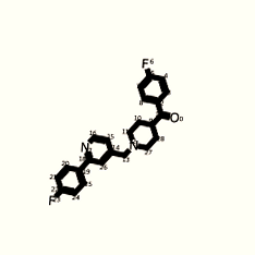 O=C(c1ccc(F)cc1)C1CCN(Cc2ccnc(-c3ccc(F)cc3)c2)CC1